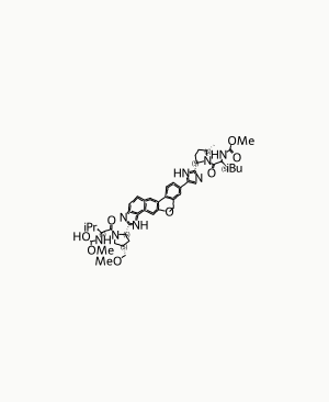 CC[C@H](C)C(NC(=O)OC)C(=O)N1[C@@H](C)CC[C@H]1c1ncc(-c2ccc3c(c2)COc2cc4c(ccc5nc([C@@H]6C[C@H](COC)CN6C(=O)[C@@H](NC(O)OC)C(C)C)[nH]c54)cc2-3)[nH]1